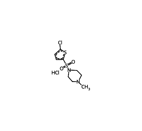 CN1CCN(S(=O)(=O)c2ccc(Cl)s2)CC1.Cl